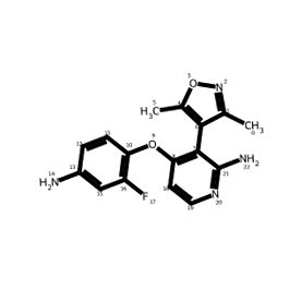 Cc1noc(C)c1-c1c(Oc2ccc(N)cc2F)ccnc1N